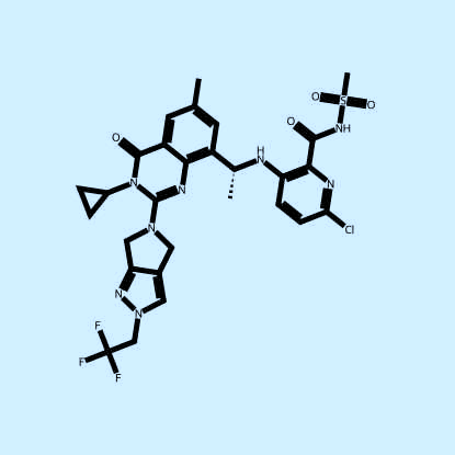 Cc1cc([C@@H](C)Nc2ccc(Cl)nc2C(=O)NS(C)(=O)=O)c2nc(N3Cc4cn(CC(F)(F)F)nc4C3)n(C3CC3)c(=O)c2c1